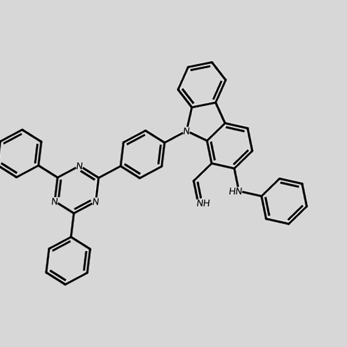 N=Cc1c(Nc2ccccc2)ccc2c3ccccc3n(-c3ccc(-c4nc(-c5ccccc5)nc(-c5ccccc5)n4)cc3)c12